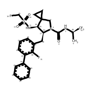 C[C@@H](NC(=O)N1CC2(CC2)[C@H](NS(=O)(=O)CF)[C@@H]1Cc1cccc(-c2ccccc2)c1F)C(F)(F)F